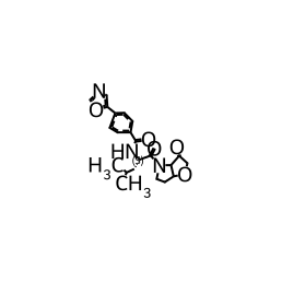 CC(C)C[C@H](NC(=O)c1ccc(-c2cnco2)cc1)C(=O)N1CCC2OCC(=O)C21